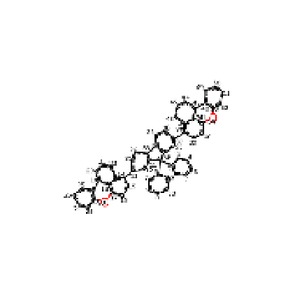 c1ccc(C2(c3ccccc3)c3cc(-c4ccc5c6c(cccc46)-c4ccccc4O5)ccc3-c3ccc(-c4ccc5c6c(cccc46)-c4ccccc4O5)cc32)cc1